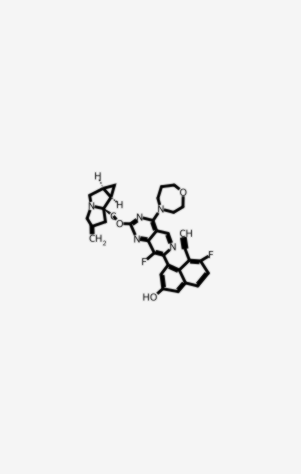 C#Cc1c(F)ccc2cc(O)cc(-c3ncc4c(N5CCCOCC5)nc(OC[C@@]56CC(=C)CN5C[C@H]5C[C@H]56)nc4c3F)c12